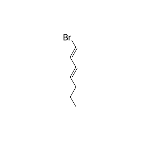 CCCC=CC=CBr